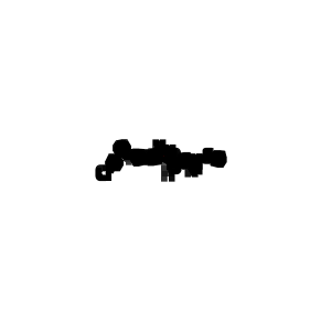 O=S(=O)(Nc1ncnc2cc(N3CCN(Cc4ccccc4-c4ccc(Cl)cc4)CC3)ccc12)c1ccc2c(c1)nnn2CCSc1ccccc1